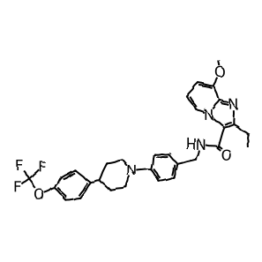 CCc1nc2c(OC)cccn2c1C(=O)NCc1ccc(N2CCC(c3ccc(OC(F)(F)F)cc3)CC2)cc1